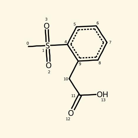 CS(=O)(=O)c1ccccc1CC(=O)O